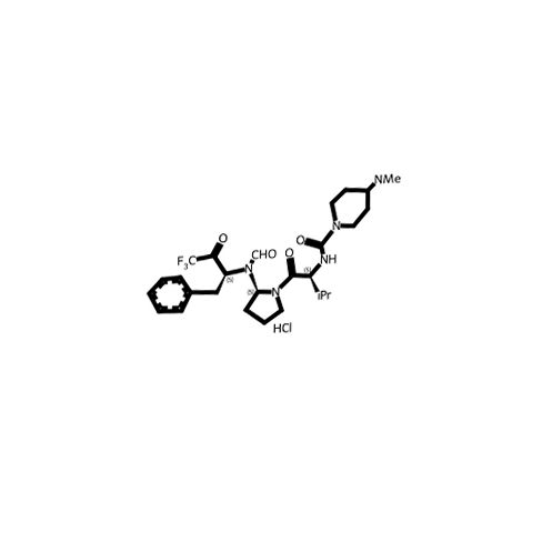 CNC1CCN(C(=O)N[C@H](C(=O)N2CCC[C@H]2N(C=O)[C@@H](Cc2ccccc2)C(=O)C(F)(F)F)C(C)C)CC1.Cl